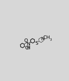 CN1CCC(Sc2cccc(NC(=O)c3ccccc3Cl)c2)CC1